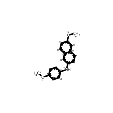 COc1ccc(Nc2ccc3cc(OC)ccc3c2)cc1